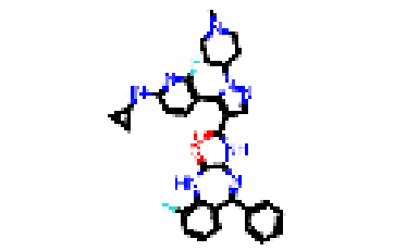 CN1CCC(n2ncc(C(=O)N[C@H]3N=C(c4ccccc4)c4cccc(F)c4NC3=O)c2-c2ccc(NC3CC3)nc2F)CC1